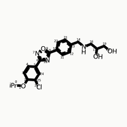 CC(C)OC1C=CC(c2noc(-c3ccc(CNCC(O)CO)cc3)n2)=CC1Cl